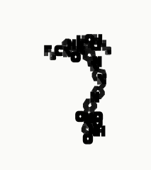 CC(C)(O)c1cc2nn(C3CCN(CC4CCN(c5ccc6c(c5)C(=O)N(N5CCC(=O)NC5=O)C6=O)CC4)CC3)cc2cc1NC(=O)c1cccc(C(F)(F)F)n1